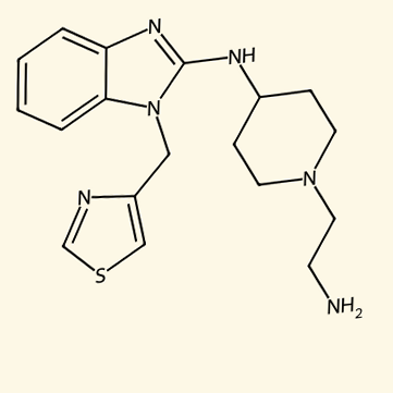 NCCN1CCC(Nc2nc3ccccc3n2Cc2cscn2)CC1